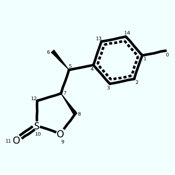 Cc1ccc([C@H](C)[C@H]2COS(=O)C2)cc1